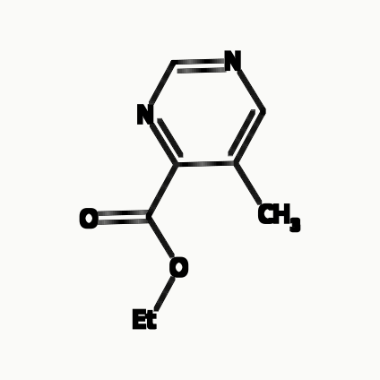 CCOC(=O)c1ncncc1C